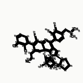 CN(C)Cc1ccc(-c2nc3c(F)c(-c4cccc(Cl)c4Cl)c(CCC#N)cc3c3c2cc([C@H]2CCCN2C(=O)O)n3[C@H]2[C@H]3CN[C@@H]2C3)c(F)c1F